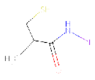 CC(CS)C(=O)NI